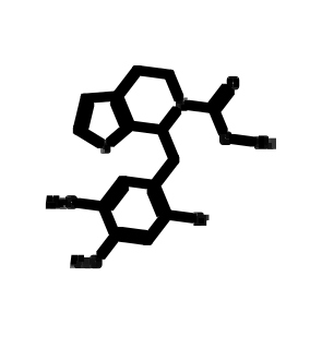 COc1cc(Br)c(CC2c3sccc3CCN2C(=O)OC(C)(C)C)cc1OC